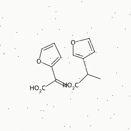 C=C(C(=O)O)c1ccco1.CC(C(=O)O)c1ccoc1